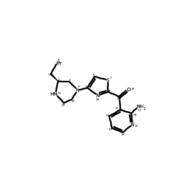 CC(C)C[C@H]1CN(c2csc(C(=O)c3cccnc3N)n2)CCN1